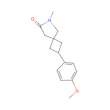 COc1ccc(C2CC3(CC(=O)N(C)C3)C2)cc1